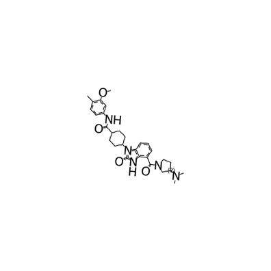 COc1cc(NC(=O)C2CCC(n3c(=O)[nH]c4c(C(=O)N5CC[C@@H](N(C)C)C5)cccc43)CC2)ccc1C